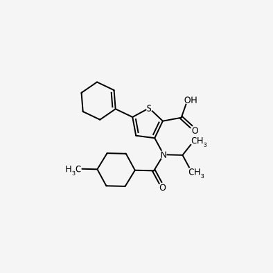 CC1CCC(C(=O)N(c2cc(C3=CCCCC3)sc2C(=O)O)C(C)C)CC1